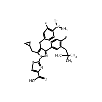 CC(C)(C)Cc1cc(-c2nn(-c3nc(C(=O)O)cs3)c(CC3CC3)c2Cc2ccc([S+](N)[O-])c(F)c2)ccc1F